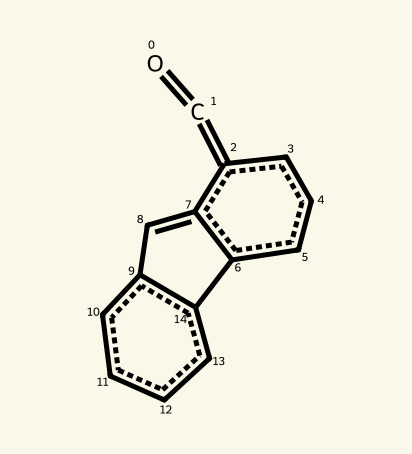 O=C=c1cccc2c1=Cc1ccccc1-2